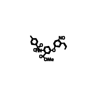 C/C=C\c1cc(Oc2ccc(NS(=O)(=O)c3ccc(C)cc3)c(C(=O)OC)c2)ccc1N=O